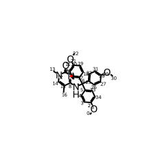 COc1ccc(C(Nc2nc(=O)n(C)cc2C)(c2ccc(OC)cc2)c2ccc(OC)cc2)cc1